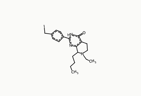 CCCCC1c2nc(-c3ccc(CI)cc3)[nH]c(=O)c2CCN1CC